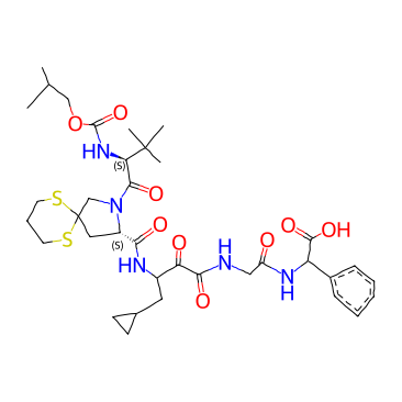 CC(C)COC(=O)N[C@H](C(=O)N1CC2(C[C@H]1C(=O)NC(CC1CC1)C(=O)C(=O)NCC(=O)NC(C(=O)O)c1ccccc1)SCCCS2)C(C)(C)C